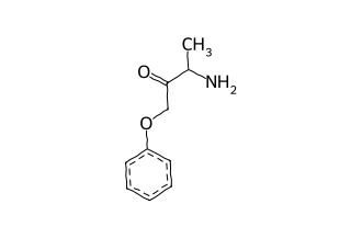 CC(N)C(=O)COc1ccccc1